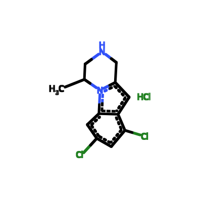 CC1CNCc2cc3c(Cl)cc(Cl)cc3n21.Cl